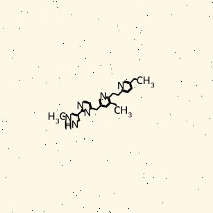 CCc1ccc(CCc2ncc(Cc3ccnc(/C(C=N)=C/NC)n3)cc2CC)nc1